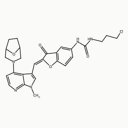 Cn1cc(C=C2Oc3ccc(NC(=O)NCCCCl)cc3C2=O)c2c(N3CC4CCC(C3)O4)ccnc21